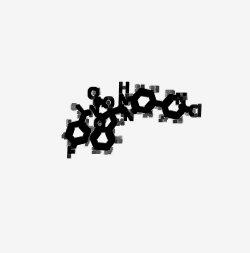 C[C@H](c1ccc(F)cc1)N1C(=O)OC(Cc2ccccc2)(c2nc3cc(-c4ccc(Cl)nc4)ccc3[nH]2)C1=O